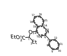 CCOC(=O)C(CC)Oc1nc(-c2ccccc2)nc2ccccc12